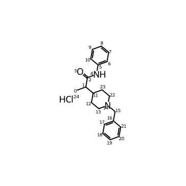 CC(C(=O)Nc1ccccc1)C1CCN(Cc2ccccc2)CC1.Cl